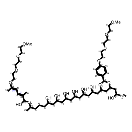 CCCC(O)CC1CC(CC(O)CC(O)CC(O)CC(O)CC(O)CC(O)CCCC(C)OC(O)/C(C)=C/C=C(\C)OCCOCCOCCOC)OC(c2ccc(OCCOCCOCCOC)cc2)O1